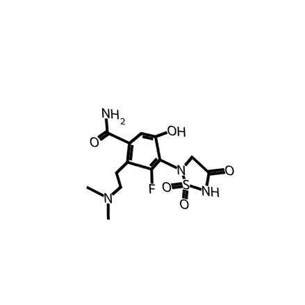 CN(C)CCc1c(C(N)=O)cc(O)c(N2CC(=O)NS2(=O)=O)c1F